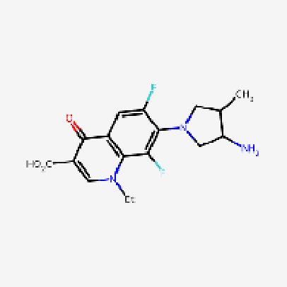 CCn1cc(C(=O)O)c(=O)c2cc(F)c(N3CC(C)C(N)C3)c(F)c21